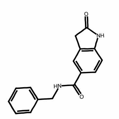 O=C1Cc2cc(C(=O)NCc3ccccc3)ccc2N1